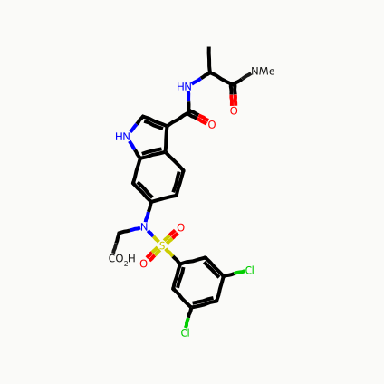 CNC(=O)C(C)NC(=O)c1c[nH]c2cc(N(CC(=O)O)S(=O)(=O)c3cc(Cl)cc(Cl)c3)ccc12